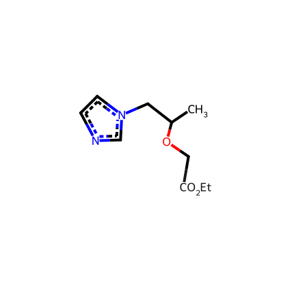 CCOC(=O)COC(C)Cn1ccnc1